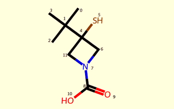 CC(C)(C)C1(S)CN(C(=O)O)C1